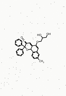 Cc1ccc2c(c1)C=C(OCC(O)CO)C1=CC(=C=O)C(c3ccccc3)(c3ccccc3)OC12